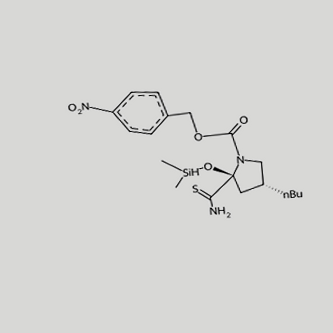 CCCC[C@H]1CN(C(=O)OCc2ccc([N+](=O)[O-])cc2)[C@@](O[SiH](C)C)(C(N)=S)C1